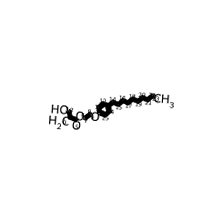 C=C(CO)C(=O)OCCOc1ccc(CCCCCCCCCC)cc1